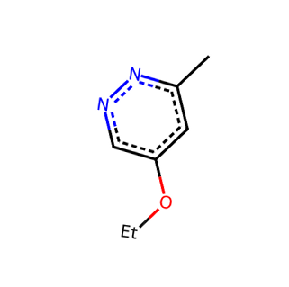 CCOc1cnnc(C)c1